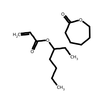 C=CC(=O)OC(CC)CCCC.O=C1CCCCCO1